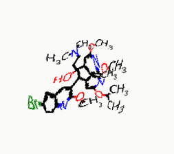 COc1cc(C(O)(CCN(C)C)C(c2cc(OC)nc(OC(C)C)c2)c2cc3cc(Br)ccc3nc2OC)cc(C)n1